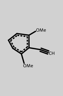 C#Cc1c(OC)cccc1OC